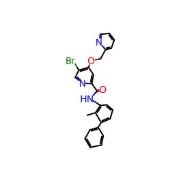 Cc1c(NC(=O)c2cc(OCc3ccccn3)c(Br)cn2)cccc1-c1ccccc1